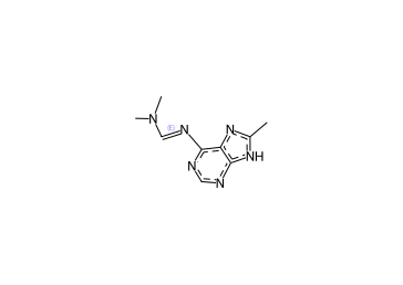 Cc1nc2c(/N=C/N(C)C)ncnc2[nH]1